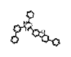 C1=CCCC(c2nc(-c3cccc(-c4ccccc4)c3)nc(-c3ccc4c(c3)OC3C=C(c5ccccc5)C=CC43)n2)=C1